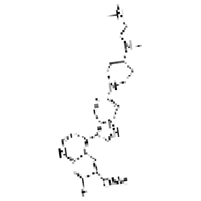 COc1cc2c(-c3cnn4cc(N5CCC(N(C)CCN(C)C)CC5)ccc34)ccnc2cc1F